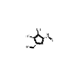 OC[C@H]1C[C@@H](NCl)[C@H](O)[C@@H]1O